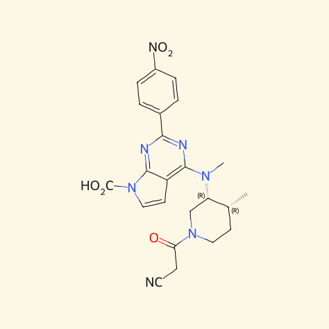 C[C@@H]1CCN(C(=O)CC#N)C[C@@H]1N(C)c1nc(-c2ccc([N+](=O)[O-])cc2)nc2c1ccn2C(=O)O